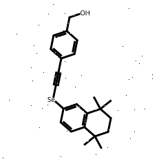 CC1(C)CCC(C)(C)c2cc([Se]C#Cc3ccc(CO)cc3)ccc21